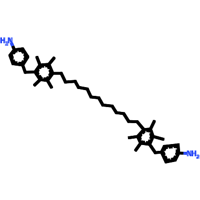 Cc1c(C)c(Cc2ccc(N)cc2)c(C)c(C)c1CCCCCCCCCCCCCc1c(C)c(C)c(Cc2ccc(N)cc2)c(C)c1C